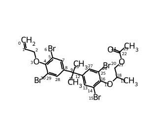 C=CCOc1c(Br)cc(C(C)(C)c2cc(Br)c(OC(C)COC(C)=O)c(Br)c2)cc1Br